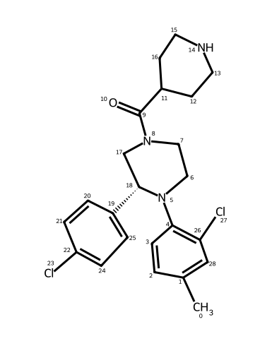 Cc1ccc(N2CCN(C(=O)C3CCNCC3)C[C@H]2c2ccc(Cl)cc2)c(Cl)c1